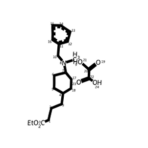 CCOC(=O)CCCC1CCC(N(C)Cc2ccccc2)CC1.O=C(O)C(=O)O